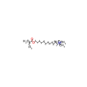 C=C(C)C(=O)OCCCCCCCCCCCC[N+](C)(C)C